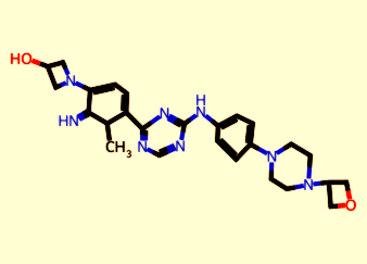 CC1C(=N)C(N2CC(O)C2)=CC=C1c1ncnc(Nc2ccc(N3CCN(C4COC4)CC3)cc2)n1